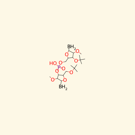 BC1OC(COP(=O)(O)OC2C(COC(C)(C)C)OC(B)C2OC)C(OC(C)(C)C)C1OC